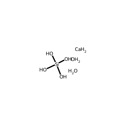 O.O.O[Si](O)(O)O.[CaH2]